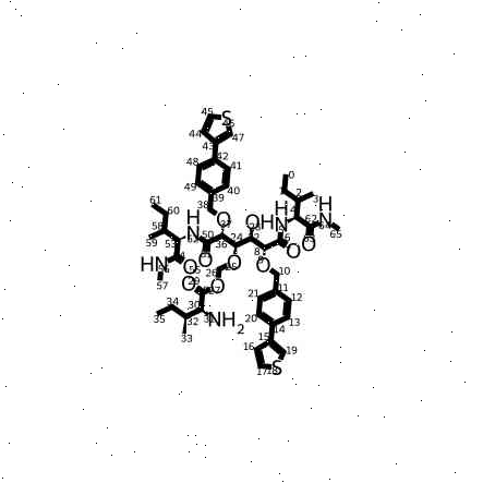 CCC(C)[C@H](NC(=O)[C@H](OCc1ccc(-c2ccsc2)cc1)[C@H](O)[C@@H](OCOC(=O)[C@@H](N)[C@@H](C)CC)[C@@H](OCc1ccc(-c2ccsc2)cc1)C(=O)N[C@H](C(=O)NC)C(C)CC)C(=O)NC